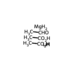 CC(=O)O.CC(=O)O.CC=O.[LiH].[MgH2]